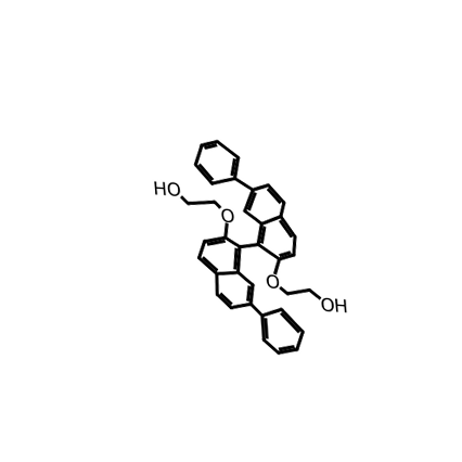 OCCOc1ccc2ccc(-c3ccccc3)cc2c1-c1c(OCCO)ccc2ccc(-c3ccccc3)cc12